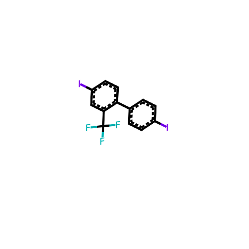 FC(F)(F)c1cc(I)ccc1-c1ccc(I)cc1